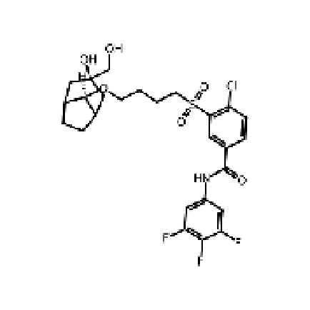 O=C(Nc1cc(F)c(F)c(F)c1)c1ccc(Cl)c(S(=O)(=O)CCCCO[C@H]2C3CCC2C[C@](O)(CO)C3)c1